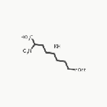 CCCCCCCCCCCCCCC(C(=O)O)[N+](=O)[O-].[KH]